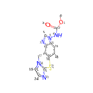 COC(=O)Nn1cnc2cc(Sc3nccn3C)ccc21